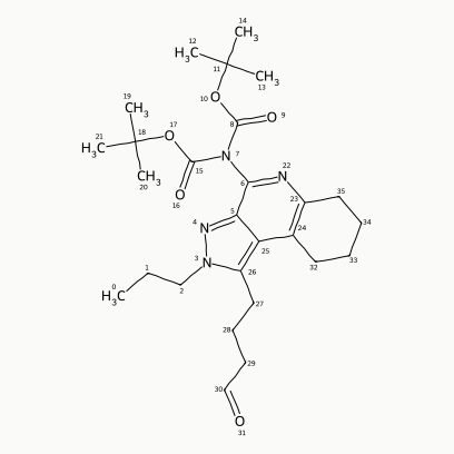 CCCn1nc2c(N(C(=O)OC(C)(C)C)C(=O)OC(C)(C)C)nc3c(c2c1CCCC=O)CCCC3